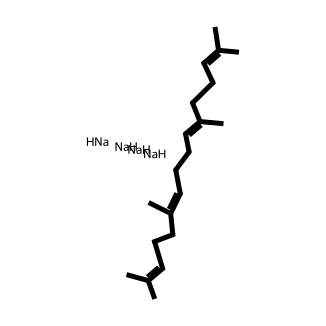 CC(C)=CCC/C(C)=C/CC/C=C(\C)CCC=C(C)C.[NaH].[NaH].[NaH].[NaH]